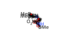 COCC(=O)NN1CCC(C(C)O[N+](=O)[O-])C(Oc2ccccc2CCN(C)CCCC(C#N)(c2ccc(OC)c(OC)c2)C(C)C)C1